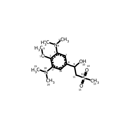 COc1c(N(C)C)cc(C(O)CS(C)(=O)=O)cc1N(C)C